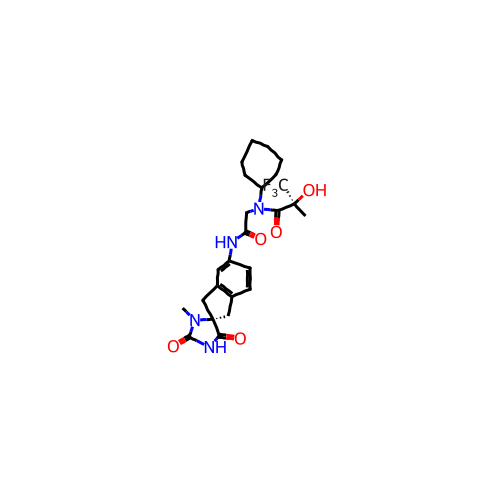 CN1C(=O)NC(=O)[C@@]12Cc1ccc(NC(=O)CN(C(=O)[C@](C)(O)C(F)(F)F)C3CCCCCC3)cc1C2